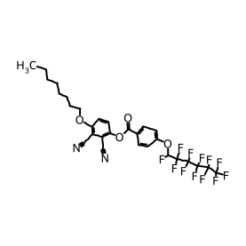 CCCCCCCCOc1ccc(OC(=O)c2ccc(OC(F)C(F)(F)C(F)(F)C(F)(F)C(F)(F)C(F)(F)F)cc2)c(C#N)c1C#N